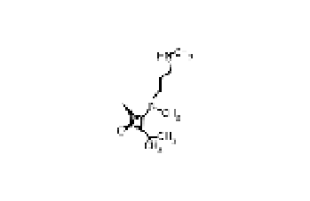 CNCCCCN(C)c1c(C(C)C)c(=O)c1=S